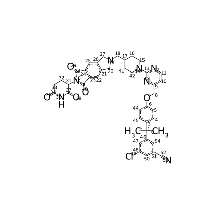 CC(C)(c1ccc(OCc2ccnc(N3CCC(CN4Cc5cc6c(cc5C4)C(=O)N(C4CCC(=O)NC4=O)C6=O)CC3)n2)cc1)c1cc(Cl)cc(C#N)c1